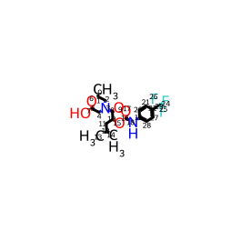 CCCN(CC(=O)O)C(=O)C(CC(C)C)OC(=O)Nc1ccc(C(F)(F)F)cc1